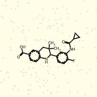 CC1(C)Cc2cc(C(=O)O)ccc2NC1c1ccc(F)c(NC(=O)C2CC2)c1